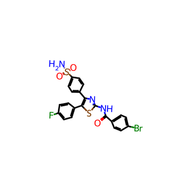 NS(=O)(=O)c1ccc(-c2nc(NC(=O)c3ccc(Br)cc3)sc2-c2ccc(F)cc2)cc1